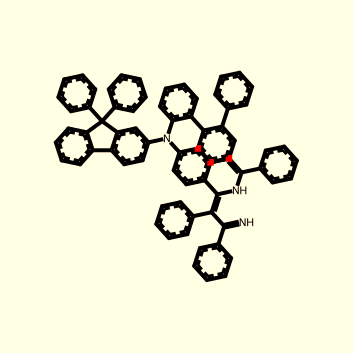 N=C(/C(=C1\NC(c2ccccc2)=Cc2cc(N(c3ccc4c(c3)C(c3ccccc3)(c3ccccc3)c3ccccc3-4)c3ccccc3-c3ccccc3-c3ccccc3)ccc21)c1ccccc1)c1ccccc1